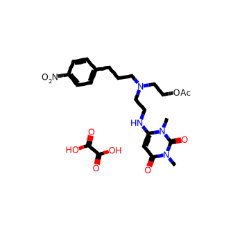 CC(=O)OCCN(CCCc1ccc([N+](=O)[O-])cc1)CCNc1cc(=O)n(C)c(=O)n1C.O=C(O)C(=O)O